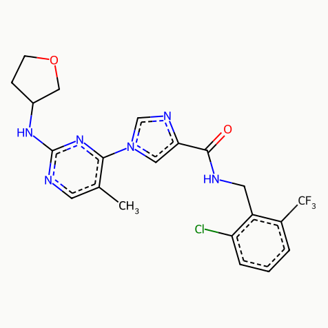 Cc1cnc(NC2CCOC2)nc1-n1cnc(C(=O)NCc2c(Cl)cccc2C(F)(F)F)c1